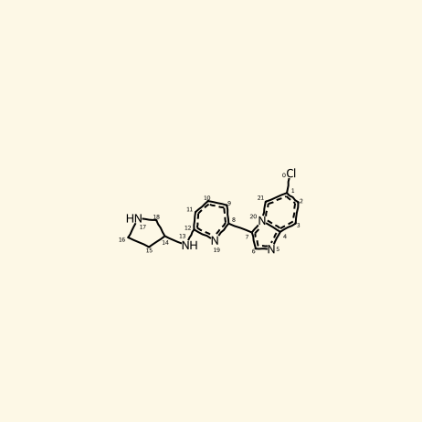 Clc1ccc2ncc(-c3cccc(NC4CCNC4)n3)n2c1